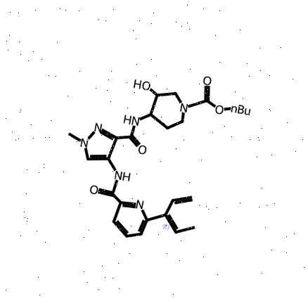 C=C/C(=C\C)c1cccc(C(=O)Nc2cn(C)nc2C(=O)NC2CCN(C(=O)OCCCC)CC2O)n1